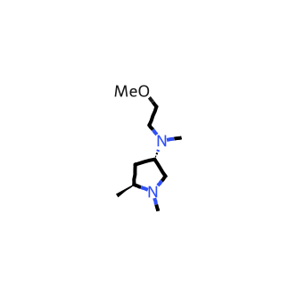 COCCN(C)[C@H]1C[C@H](C)N(C)C1